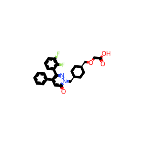 O=C(O)COC[C@H]1CC[C@@H](Cn2nc(-c3cccc(F)c3F)c(-c3ccccc3)cc2=O)CC1